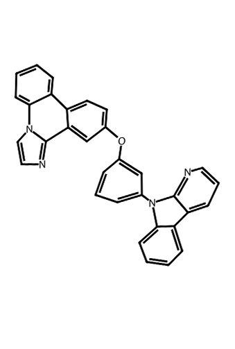 c1cc(Oc2ccc3c4ccccc4n4ccnc4c3c2)cc(-n2c3ccccc3c3cccnc32)c1